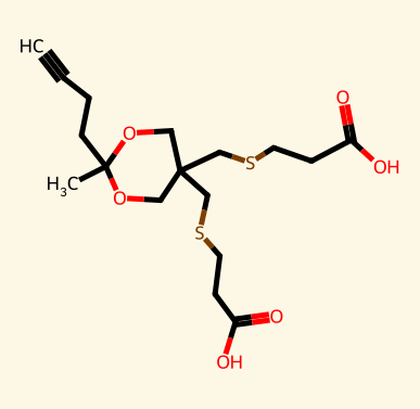 C#CCCC1(C)OCC(CSCCC(=O)O)(CSCCC(=O)O)CO1